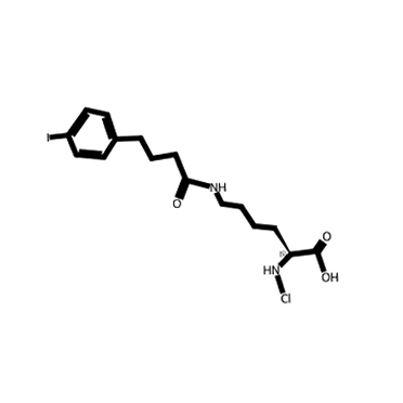 O=C(CCCc1ccc(I)cc1)NCCCC[C@H](NCl)C(=O)O